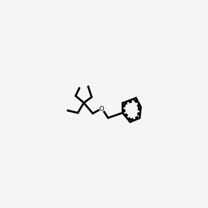 CCC(CC)(CC)COCc1ccccc1